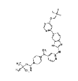 CC(c1ccnc(Nc2nc3ccc(-c4cc(OCC(F)(F)F)ncn4)cc3[nH]2)c1)N1CCN(C(=O)OC(C)(C)C)CC1